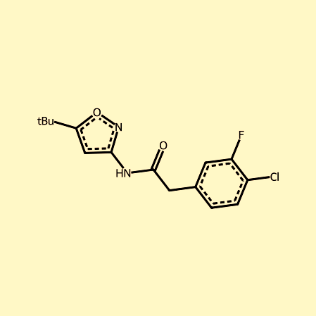 CC(C)(C)c1cc(NC(=O)Cc2ccc(Cl)c(F)c2)no1